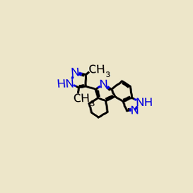 Cc1n[nH]c(C)c1-c1nc2ccc3[nH]ncc3c2c2c1CCCC2